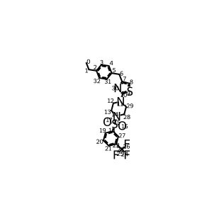 CCc1ccc(Cc2csc(N3CCN(S(=O)(=O)c4cccc(C(F)(F)F)c4)CC3)n2)cc1